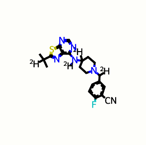 [2H]C(c1ccc(F)c(C#N)c1)N1CCC([2H])(N([2H])c2ncnc3sc(C([2H])(C)C)nc23)CC1